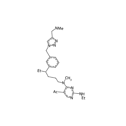 CCNc1ncc(C(C)=O)c(N(C)CCCC(CC)c2cccc(Cn3cc(CNC)nn3)c2)n1